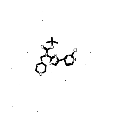 CC(C)(C)OC(=O)N(CC1CCOCC1)c1nc(-c2ccnc(Cl)c2)cs1